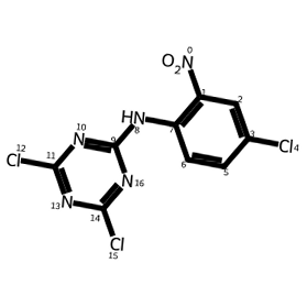 O=[N+]([O-])c1cc(Cl)ccc1Nc1nc(Cl)nc(Cl)n1